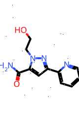 NC(=O)c1cc(-c2ccccn2)nn1CCO